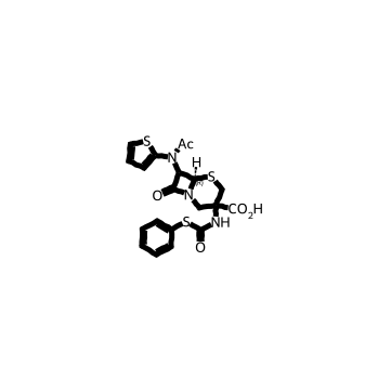 CC(=O)N(c1cccs1)C1C(=O)N2CC(NC(=O)Sc3ccccc3)(C(=O)O)CS[C@H]12